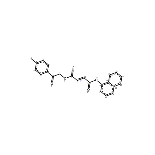 Cc1ccc(C(=O)COC(=O)/C=C/C(=O)Oc2cccc3ccccc23)cc1